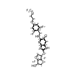 O[C@@H]1CO[C@]2(I)[C@H](Oc3nc4nc(NCc5c(F)cc(OCCOC(F)(F)F)cc5F)c(Cl)cc4[nH]3)CO[C@]12I